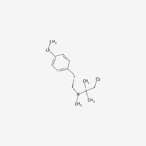 COc1ccc(CCN(C)C(C)(C)CCl)cc1